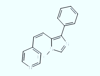 Cn1cnc(-c2ccccc2)c1/C=C\c1ccncc1